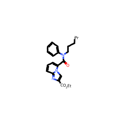 CCOC(=O)c1cn2c(C(=O)N(CCCC(C)C)c3ccccc3)cccc2n1